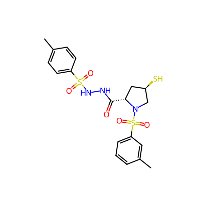 Cc1ccc(S(=O)(=O)NNC(=O)[C@@H]2C[C@@H](S)CN2S(=O)(=O)c2cccc(C)c2)cc1